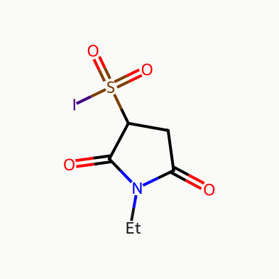 CCN1C(=O)CC(S(=O)(=O)I)C1=O